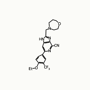 CCOc1ccc(-c2cc3[nH]c(CN4CCCOCC4)nc3c(C#N)n2)cc1C(F)(F)F